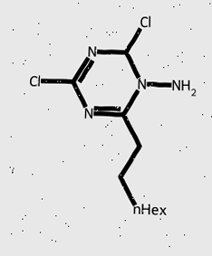 CCCCCCCCC1=NC(Cl)=NC(Cl)N1N